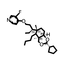 CCCCC1[C@]2(C)CO[C@@H](C3CCCC3)O[C@@H]2CC[C@@]1(C)[C@@H](CC)CCOc1ccncc1F